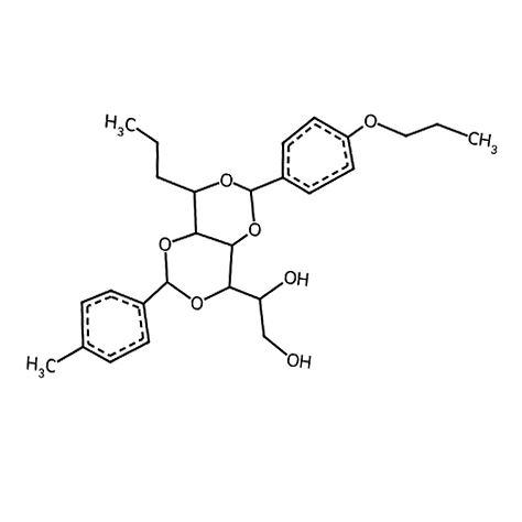 CCCOc1ccc(C2OC(CCC)C3OC(c4ccc(C)cc4)OC(C(O)CO)C3O2)cc1